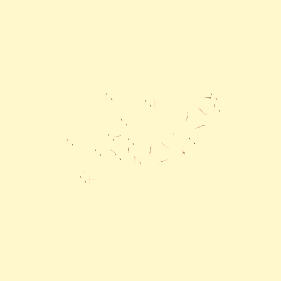 NCCN(CCN)c1nc(Nc2ccc(S(=O)(=O)Nc3ccc4cn[nH]c4c3)cc2)nc(N2C[C@H](N)C[C@H](N)C2)n1